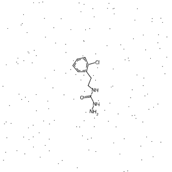 NNC(=O)NCCc1ccccc1Cl